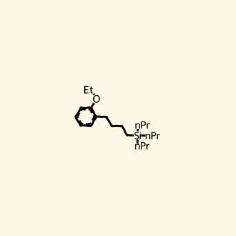 CCC[Si](CCC)(CCC)CCCCc1ccccc1OCC